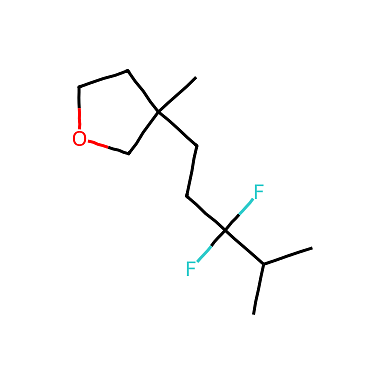 CC(C)C(F)(F)CCC1(C)CCOC1